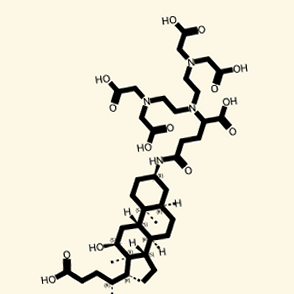 C[C@H](CCC(=O)O)[C@H]1CC[C@H]2[C@@H]3CC[C@@H]4C[C@H](NC(=O)CCC(C(=O)O)N(CCN(CC(=O)O)CC(=O)O)CCN(CC(=O)O)CC(=O)O)CC[C@]4(C)[C@H]3C[C@H](O)[C@]12C